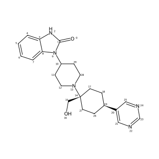 O=c1[nH]c2ccccc2n1C1CCN([C@]2(CO)CC[C@@H](c3cncnc3)CC2)CC1